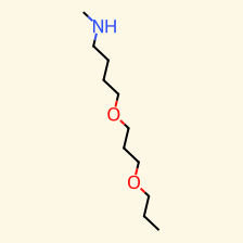 CCCOCCCOCCCCNC